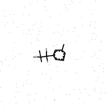 Cc1cccc(C(F)(F)C(C)(C)O)c1